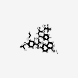 CCOc1cc(C(Nc2ccc3c(N)nccc3c2)C(=O)N[C@@H](CC(=O)OC(=O)C(F)(F)F)c2ccccc2)ccc1OC(C)C